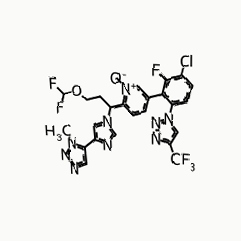 Cn1nncc1-c1cn(C(CCOC(F)F)c2ccc(-c3c(-n4cc(C(F)(F)F)nn4)ccc(Cl)c3F)c[n+]2[O-])cn1